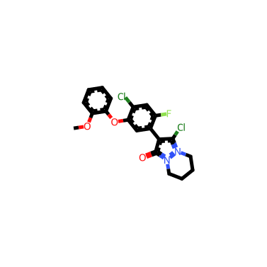 COc1ccccc1Oc1cc(-c2c(Cl)n3n(c2=O)CCCC3)c(F)cc1Cl